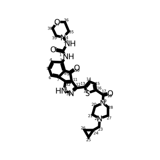 O=C(Nc1cccc2c1C(=O)c1c(-c3ccc(C(=O)N4CCN(CC5CC5)CC4)s3)n[nH]c1-2)NN1CCOCC1